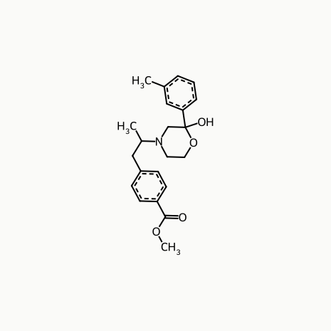 COC(=O)c1ccc(CC(C)N2CCOC(O)(c3cccc(C)c3)C2)cc1